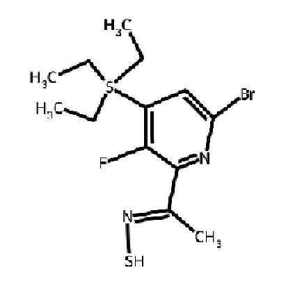 CCS(CC)(CC)c1cc(Br)nc(/C(C)=N/S)c1F